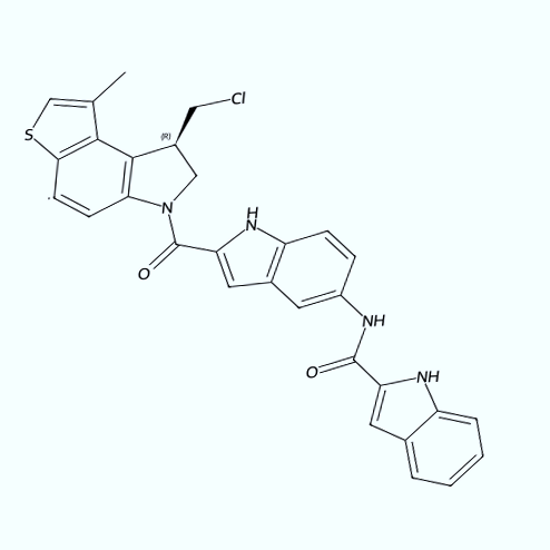 Cc1csc2[c]cc3c(c12)[C@@H](CCl)CN3C(=O)c1cc2cc(NC(=O)c3cc4ccccc4[nH]3)ccc2[nH]1